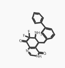 NC1C(Cc2cccc(-c3ccccc3)c2)c2c(nc[nH]c2=O)C(=O)C1(F)F